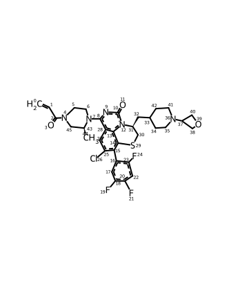 C=CC(=O)N1CCN(c2nc(=O)n3c4c(c(-c5cc(F)c(F)cc5F)c(Cl)cc24)SC[C@@H]3CC2CCN(C3COC3)CC2)[C@@H](C)C1